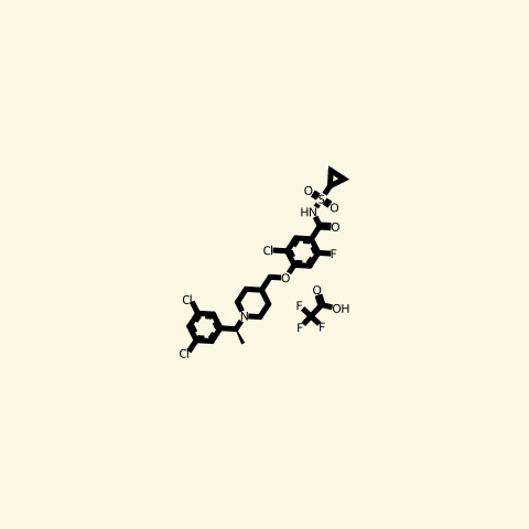 C[C@@H](c1cc(Cl)cc(Cl)c1)N1CCC(COc2cc(F)c(C(=O)NS(=O)(=O)C3CC3)cc2Cl)CC1.O=C(O)C(F)(F)F